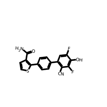 N#Cc1c(-c2ccc(-c3sccc3C(N)=O)cc2)cc(F)c(O)c1F